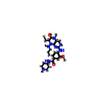 CCCN(C)N1c2nc(Nc3ccc(C(=O)NC4CCN(C)CC4)cc3OC)ncc2N(C)C(=O)C1CC